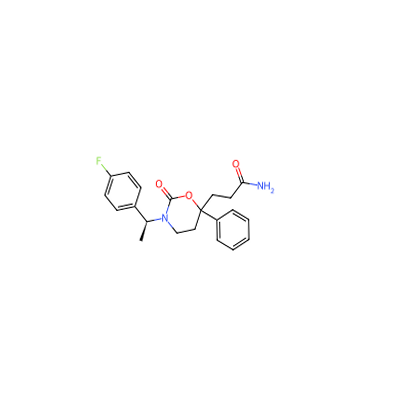 C[C@@H](c1ccc(F)cc1)N1CCC(CCC(N)=O)(c2ccccc2)OC1=O